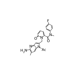 CC(=O)n1c(Cn2c(C(=O)N(C)c3ccc(F)cc3)cccc2=O)cc2nc(N)c(C)cc21